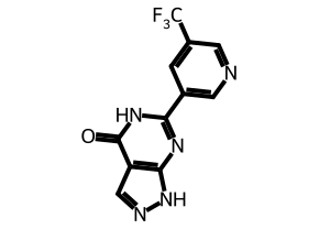 O=c1[nH]c(-c2cncc(C(F)(F)F)c2)nc2[nH]ncc12